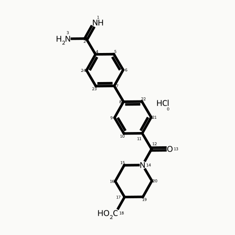 Cl.N=C(N)c1ccc(-c2ccc(C(=O)N3CCC(C(=O)O)CC3)cc2)cc1